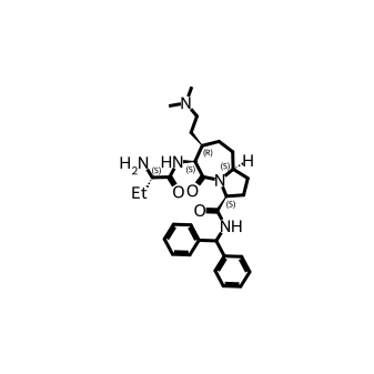 CC[C@H](N)C(=O)N[C@@H]1C(=O)N2[C@@H](CC[C@@H]1CCN(C)C)CC[C@H]2C(=O)NC(c1ccccc1)c1ccccc1